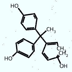 C=C(O)/C=C\C(=C/C)C(C)(c1ccc(O)cc1)c1ccc(O)cc1